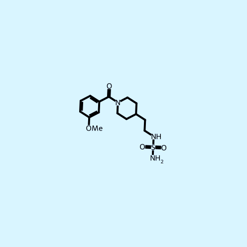 COc1cccc(C(=O)N2CCC(CCNS(N)(=O)=O)CC2)c1